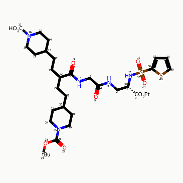 CCOC(=O)[C@H](CNC(=O)CNC(=O)C(CCC1CCN(C(=O)O)CC1)CCC1CCN(C(=O)OC(C)(C)C)CC1)NS(=O)(=O)c1cccs1